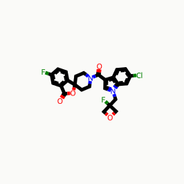 O=C1OC2(CCN(C(=O)c3cn(CC4(F)COC4)c4cc(Cl)ccc34)CC2)c2ccc(F)cc21